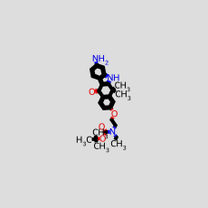 CCN(CCOc1ccc2c(c1)C(C)(C)c1[nH]c3cc(N)ccc3c1C2=O)C(=O)OC(C)(C)C